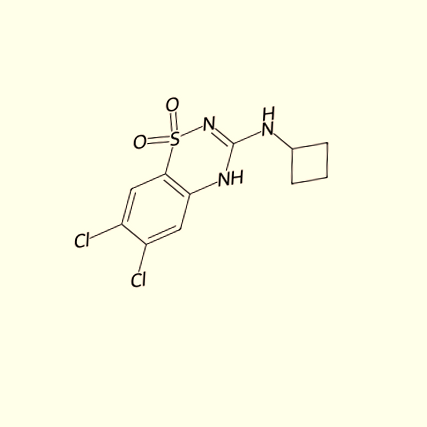 O=S1(=O)N=C(NC2CCC2)Nc2cc(Cl)c(Cl)cc21